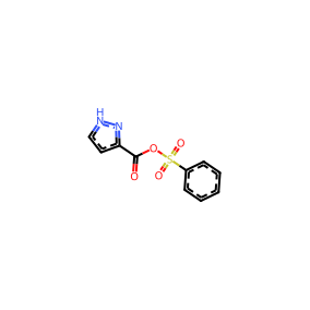 O=C(OS(=O)(=O)c1ccccc1)c1cc[nH]n1